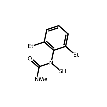 CCc1cccc(CC)c1N(S)C(=O)NC